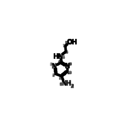 Nc1cnc(NCCO)nc1